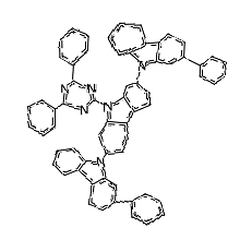 c1ccc(-c2ccc3c4ccccc4n(-c4ccc5c6ccc(-n7c8ccccc8c8ccc(-c9ccccc9)cc87)cc6n(-c6nc(-c7ccccc7)nc(-c7ccccc7)n6)c5c4)c3c2)cc1